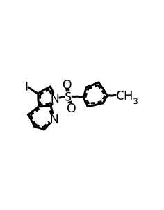 Cc1ccc(S(=O)(=O)n2cc(I)c3cccnc32)cc1